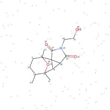 CC1CCC2(C)OC1(C)C1C3C(=O)N(CCO)C(=O)C312